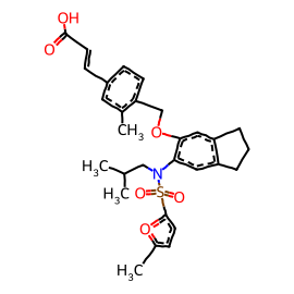 Cc1ccc(S(=O)(=O)N(CC(C)C)c2cc3c(cc2OCc2ccc(C=CC(=O)O)cc2C)CCC3)o1